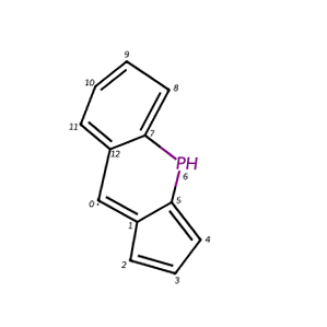 [c]1c2cccc-2[pH]c2ccccc12